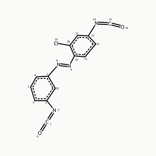 O=C=Nc1cccc(N=Nc2ccc(N=C=O)cc2Cl)c1